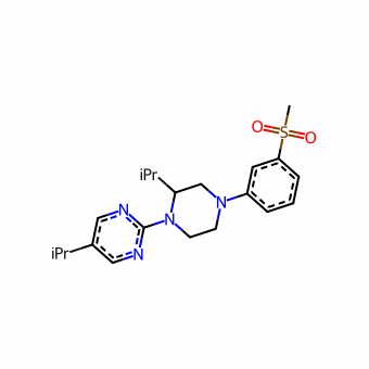 CC(C)c1cnc(N2CCN(c3cccc(S(C)(=O)=O)c3)CC2C(C)C)nc1